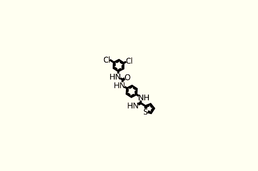 N=C(Nc1ccc(NC(=O)Nc2cc(Cl)cc(Cl)c2)cc1)c1cccs1